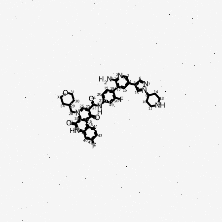 Nc1ncc(-c2cnn(C3CCNCC3)c2)cc1-c1ccc(NC(=O)c2cn(CC3CCOCC3)c3c(=O)[nH]c4cc(F)ccc4c3c2=O)cc1F